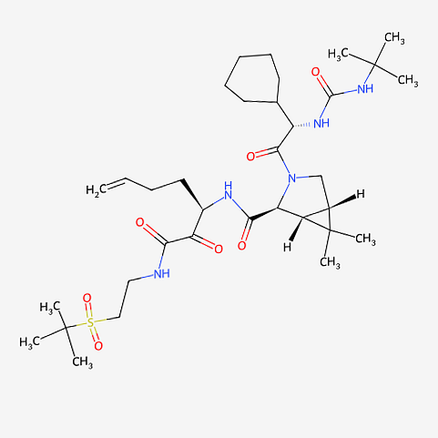 C=CCC[C@@H](NC(=O)[C@@H]1[C@@H]2[C@H](CN1C(=O)[C@@H](NC(=O)NC(C)(C)C)C1CCCCC1)C2(C)C)C(=O)C(=O)NCCS(=O)(=O)C(C)(C)C